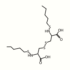 CCCCCSNC(CSSCC(NSCCCCC)C(=O)O)C(=O)O